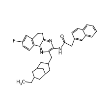 CCC1CC2CC(Cc3nc4c(nc3NC(=O)Cc3ccc5ccccc5c3)CCc3cc(F)ccc3-4)CC(C1)C2